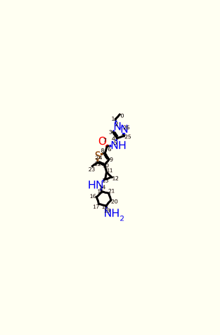 CCn1cc(NC(=O)c2cc(C3CC3NC3CCC(N)CC3)c(C)s2)cn1